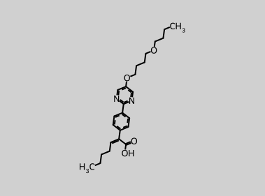 CCCCC=C(C(=O)O)c1ccc(-c2ncc(OCCCCOCCCC)cn2)cc1